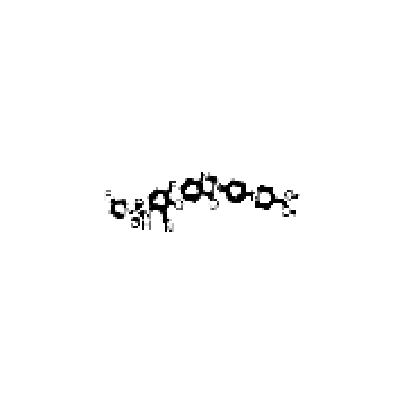 COC(OC)C1CCN(c2ccc(-n3cnc4ccc(Oc5c(F)ccc(NS(=O)(=O)N6CCC(F)C6)c5C#N)cc4c3=O)cc2)CC1